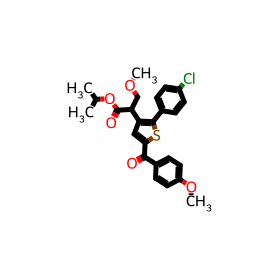 COCC(C(=O)OC(C)C)c1cc(C(=O)c2ccc(OC)cc2)sc1-c1ccc(Cl)cc1